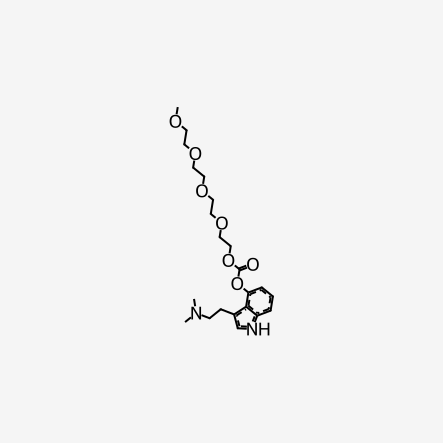 COCCOCCOCCOCCOC(=O)Oc1cccc2[nH]cc(CCN(C)C)c12